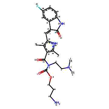 CCN(CC)CCN(C(=O)OCCCN)C(=O)c1c(C)[nH]c(/C=C2\C(=O)Nc3ccc(F)cc32)c1C